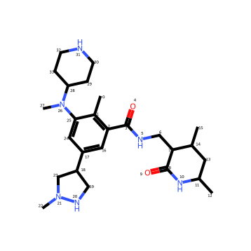 Cc1c(C(=O)NCC2C(=O)NC(C)CC2C)cc(C2CNN(C)C2)cc1N(C)C1CCNCC1